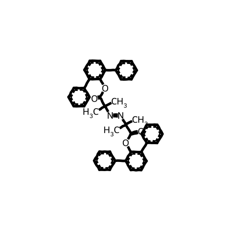 CC(C)(N=NC(C)(C)C(=O)Oc1c(-c2ccccc2)cccc1-c1ccccc1)C(=O)Oc1c(-c2ccccc2)cccc1-c1ccccc1